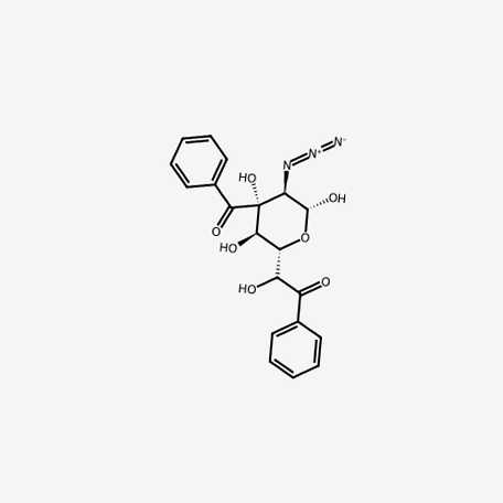 [N-]=[N+]=N[C@H]1[C@H](O)O[C@H](C(O)C(=O)c2ccccc2)[C@@H](O)[C@@]1(O)C(=O)c1ccccc1